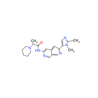 Cc1ncc(-c2cc3cc(NC(=O)C(C)N4CCCCC4)ncc3cn2)n1C